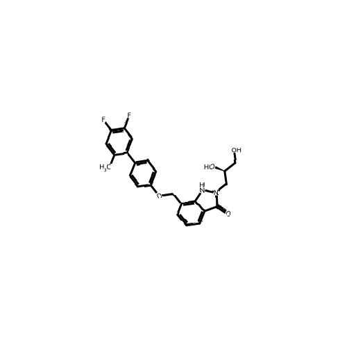 Cc1cc(F)c(F)cc1-c1ccc(OCc2cccc3c(=O)n(C[C@@H](O)CO)[nH]c23)cc1